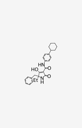 CCC1(Cc2ccccc2)NC(=O)C(C(=O)Nc2ccc(C3CCCCC3)cc2)=C1O